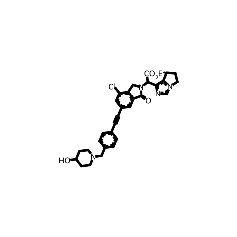 CCOC(=O)C(c1ncn2c1CCC2)N1Cc2c(Cl)cc(C#Cc3ccc(CN4CCC(O)CC4)cc3)cc2C1=O